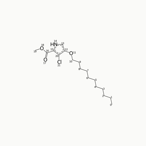 CCCCCCCCCCCOc1c[nH]c(C(=O)OC)c1Cl